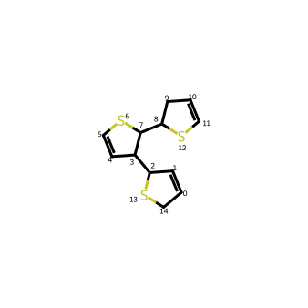 C1=CC(C2C=CSC2C2CC=CS2)SC1